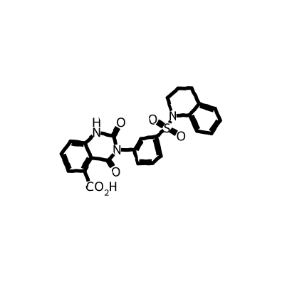 O=C(O)c1cccc2[nH]c(=O)n(-c3cccc(S(=O)(=O)N4CCCc5ccccc54)c3)c(=O)c12